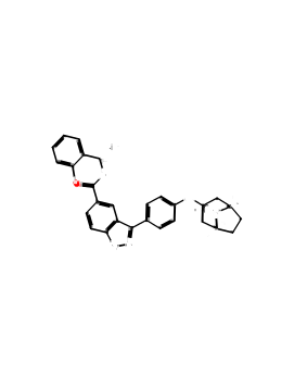 CC(C)[C@H](NC(=O)c1ccc2[nH]nc(-c3ccc(OC4C[C@H]5CC[C@@H](C4)N5C=O)cc3)c2c1)c1ccccc1Cl